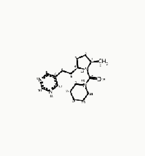 C[C@@H]1CC[C@H](CCc2cncnc2)N1C(=O)N1CCCCC1